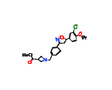 COC(=O)C1CN(Cc2ccc(C3=NOC(c4ccc(OC(C)C)c(Cl)c4)C3)cc2)C1